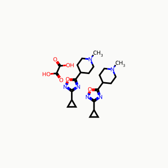 CN1CCC(c2nc(C3CC3)no2)CC1.CN1CCC(c2nc(C3CC3)no2)CC1.O=C(O)C(=O)O